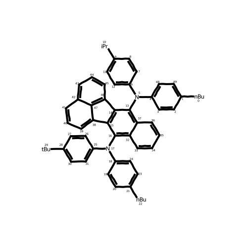 CCCCc1ccc(N(c2ccc(C(C)C)cc2)c2c3c(c(N(c4ccc(CCCC)cc4)c4ccc(C(C)(C)C)cc4)c4ccccc24)-c2cccc4cccc-3c24)cc1